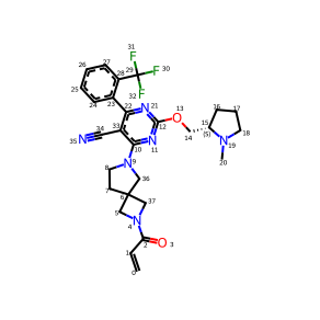 C=CC(=O)N1CC2(CCN(c3nc(OC[C@@H]4CCCN4C)nc(-c4ccccc4C(F)(F)F)c3C#N)C2)C1